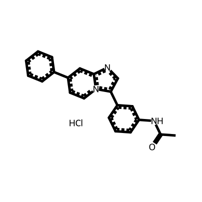 CC(=O)Nc1cccc(-c2cnc3cc(-c4ccccc4)ccn23)c1.Cl